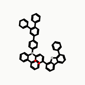 C1=CC(c2cc(-c3ccc(N(c4ccc(-c5cccc6c5oc5c(-c7ccccc7)cccc56)cc4)c4ccccc4-c4ccccc4)cc3)ccc2-c2ccccc2)=CCC1